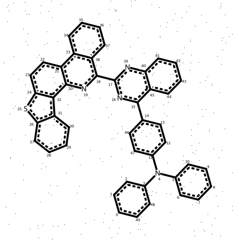 c1ccc(N(c2ccccc2)c2ccc(-c3nc(-c4nc5c(ccc6sc7ccccc7c65)c5ccccc45)nc4ccccc34)cc2)cc1